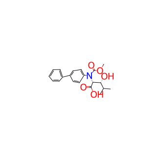 COC(=O)N(c1ccc(-c2ccccc2)cc1)[C@@H](C(=O)O)[C@H](O)C(C)C